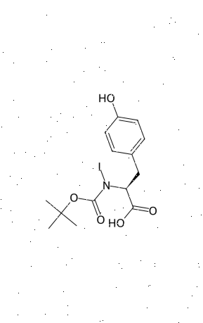 CC(C)(C)OC(=O)N(I)[C@@H](Cc1ccc(O)cc1)C(=O)O